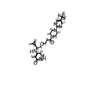 Cc1c(N[C@H](COCCC(=O)N2CCN(c3ncc(C(F)(F)F)cn3)CC2)C2CC2)cn[nH]c1=O